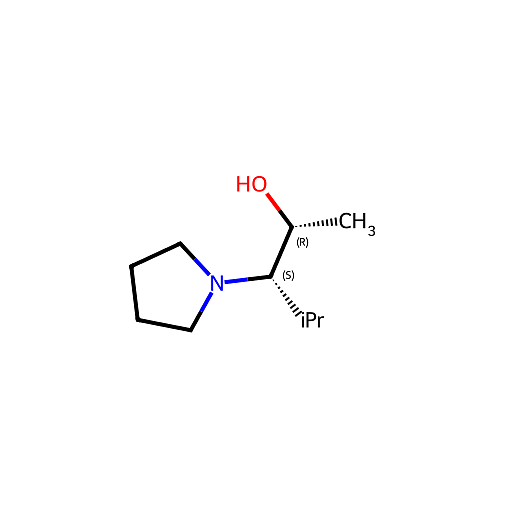 CC(C)[C@@H]([C@@H](C)O)N1CCCC1